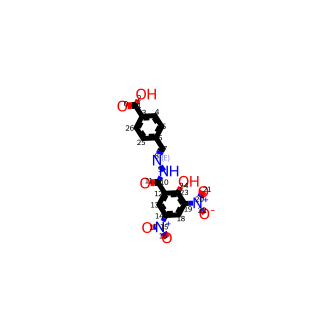 O=C(O)c1ccc(/C=N/NC(=O)c2cc([N+](=O)[O-])cc([N+](=O)[O-])c2O)cc1